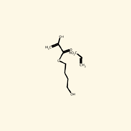 C=C(O)C(=O)OCCCCO.C=CC(=O)O